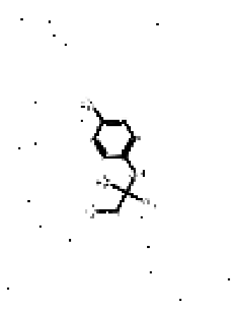 CC(C)(CN)Nc1ccc([N+](=O)[O-])cc1